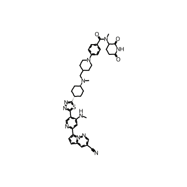 CNc1cc(-c2ccc3cc(C#N)cnn23)ncc1-c1nnc([C@H]2CC[C@H](N(C)CC3CCN(c4ccc(C(=O)N(C)C5CCC(=O)NC5=O)cc4)CC3)CC2)s1